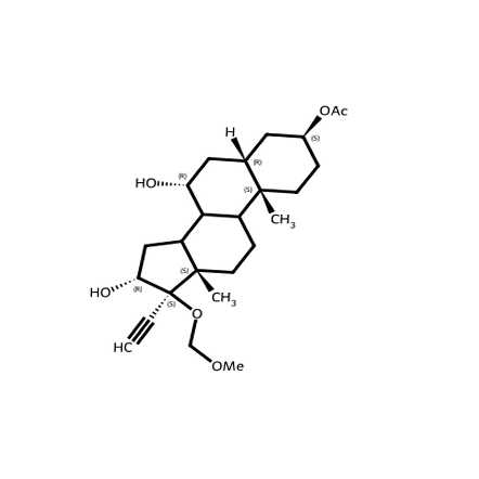 C#C[C@]1(OCOC)[C@H](O)CC2C3C(CC[C@@]21C)[C@@]1(C)CC[C@H](OC(C)=O)C[C@H]1C[C@H]3O